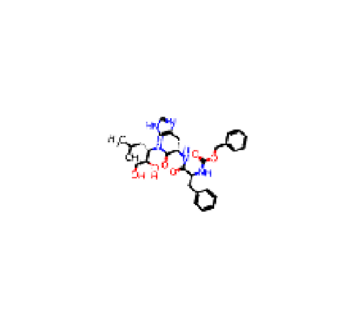 CC(C)C[C@H](NC(=O)[C@H](Cc1c[nH]cn1)NC(=O)[C@H](Cc1ccccc1)NC(=O)OCc1ccccc1)C(O)CO